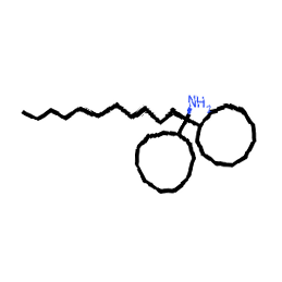 CCCCCCCCCCCC(N)(C1CCCCCCCCCC1)C1CCCCCCCCCC1